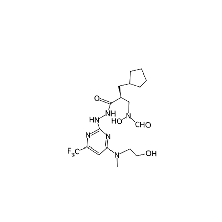 CN(CCO)c1cc(C(F)(F)F)nc(NNC(=O)[C@@H](CC2CCCC2)CN(O)C=O)n1